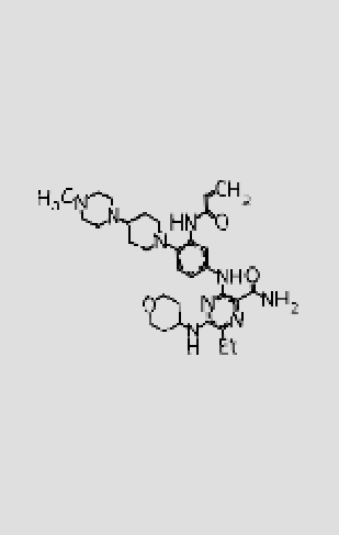 C=CC(=O)Nc1cc(Nc2nc(NC3CCOCC3)c(CC)nc2C(N)=O)ccc1N1CCC(N2CCN(C)CC2)CC1